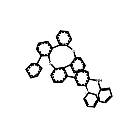 C1=CCCC(Nc2ccc(-c3cccc4c3-c3ccccc3Sc3ccccc3-c3cccc(-c5ccccc5)c3S4)cc2[C@@H]2C=CC=CC2)=C1